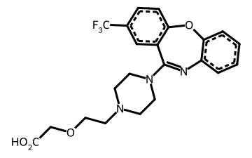 O=C(O)COCCN1CCN(C2=Nc3ccccc3Oc3ccc(C(F)(F)F)cc32)CC1